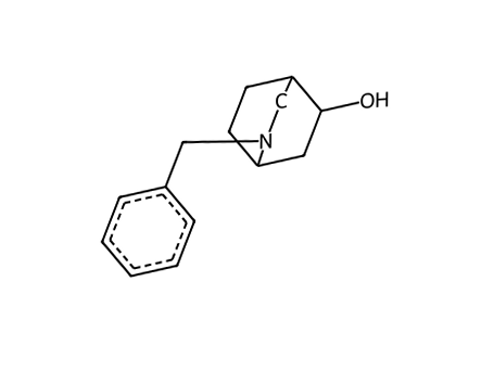 OC1CC2CCC1CN2Cc1ccccc1